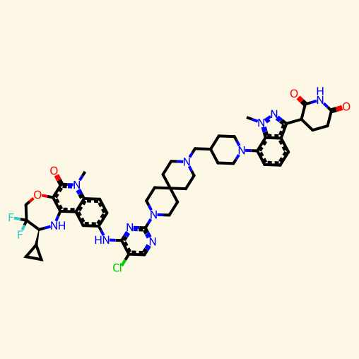 Cn1nc(C2CCC(=O)NC2=O)c2cccc(N3CCC(CN4CCC5(CC4)CCN(c4ncc(Cl)c(Nc6ccc7c(c6)c6c(c(=O)n7C)OCC(F)(F)[C@H](C7CC7)N6)n4)CC5)CC3)c21